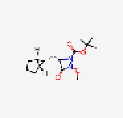 CON1C(=O)[C@H](C[C@@H]2[C@@H]3CCC[C@@H]32)N1C(=O)OC(C)(C)C